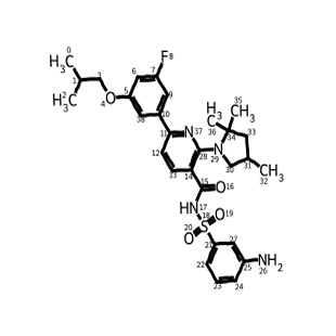 CC(C)COc1cc(F)cc(-c2ccc(C(=O)NS(=O)(=O)c3cccc(N)c3)c(N3CC(C)CC3(C)C)n2)c1